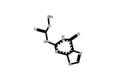 CC(C)(C)OC(=O)Nc1nc2c(c(=O)[nH]1)N=C[N]2